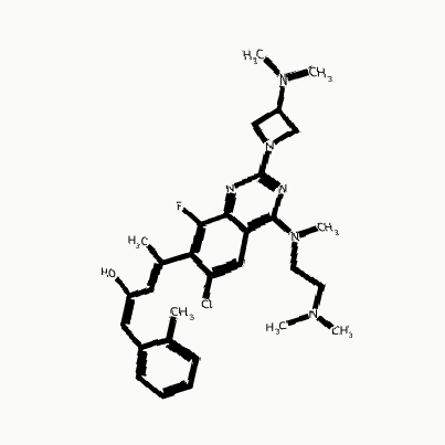 C/C(=C\C(O)=C/c1ccccc1C)c1c(Cl)cc2c(N(C)CCN(C)C)nc(N3CC(N(C)C)C3)nc2c1F